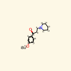 CCC(C)Oc1ccc(C(=O)CCN2CCCCC2)cc1